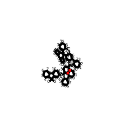 CC1(C)c2ccccc2-c2ccc(N(c3ccc(-n4c5ccccc5c5cc6c(cc54)C4(c5ccccc5S6)c5ccccc5-c5ccccc54)cc3)c3ccccc3-c3ccccc3)cc21